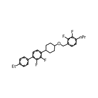 CCCc1ccc(COC2CCC(c3ccc(-c4ccc(CC)cc4)c(F)c3F)CC2)c(F)c1F